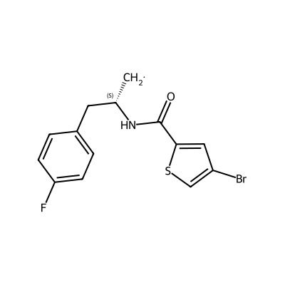 [CH2][C@@H](Cc1ccc(F)cc1)NC(=O)c1cc(Br)cs1